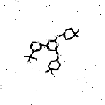 CC(F)(I)c1ccnc(-c2nc(NC3CCC(F)(F)CC3)nc(NC3CCC(F)(F)CC3)n2)c1